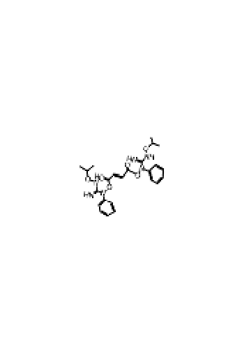 CC(C)ONC(=N)N(OC(=O)/C=C/C(=O)ON(C(=N)NOC(C)C)c1ccccc1)c1ccccc1